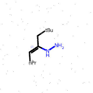 CCC/C=C(/CC(C)(C)C)NN